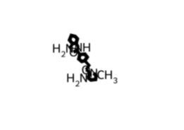 Cc1ccc(N)c(OCc2ccc(C(=O)Nc3ccccc3N)cc2)n1